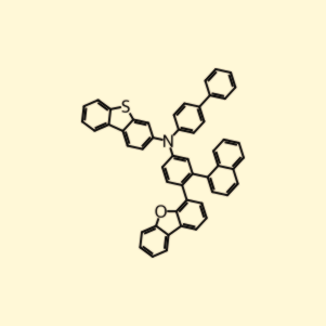 c1ccc(-c2ccc(N(c3ccc(-c4cccc5c4oc4ccccc45)c(-c4cccc5ccccc45)c3)c3ccc4c(c3)sc3ccccc34)cc2)cc1